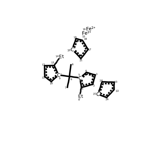 CCc1ccc[c-]1C(C)(C)[c-]1cccc1CC.[Fe+2].[Fe+2].c1cc[cH-]c1.c1cc[cH-]c1